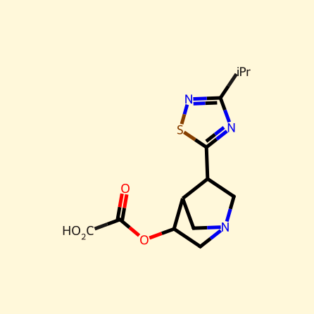 CC(C)c1nsc(C2CN3CC(OC(=O)C(=O)O)C2C3)n1